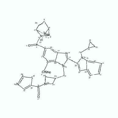 COc1cc(C(=O)N2CC3CCC2[C@@H]3N)cc2nc(-c3cc4ccccc4n3CC3CC3)n(CC3CN(C(=O)c4cncs4)C3)c12